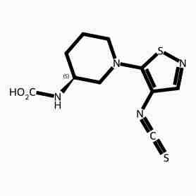 O=C(O)N[C@H]1CCCN(c2sncc2N=C=S)C1